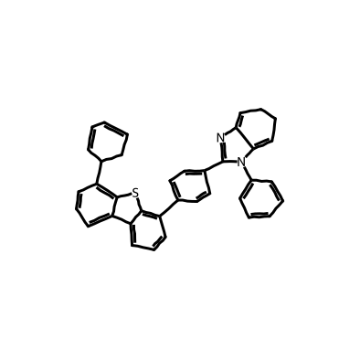 C1=CCC(c2cccc3c2sc2c(-c4ccc(-c5nc6c(n5-c5ccccc5)=CCCC=6)cc4)cccc23)C=C1